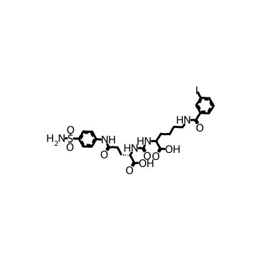 NS(=O)(=O)c1ccc(NC(=O)CC[C@H](NC(=O)NC(CCCCNC(=O)c2cccc(I)c2)C(=O)O)C(=O)O)cc1